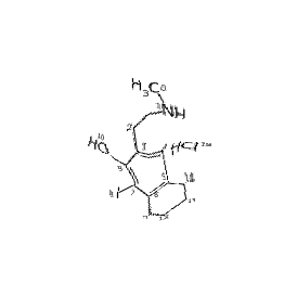 CNCc1cc2c(c(I)c1O)CCCC2.Cl